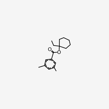 CCC1(OC(=O)c2cc(C)cc(C)c2)CCCCC1